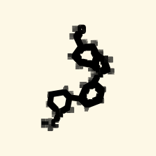 CN1CCCC(c2cccc(-n3cnc4cc(C=O)ccc43)c2)C1